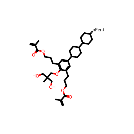 C=C(C)C(=O)OCCCc1cc(C2CCC(C3CCC(CCCCC)CC3)CC2)cc(CCCOC(=O)C(=C)C)c1OCC(C)(CO)CO